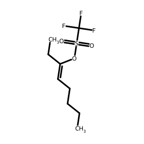 CCCC/C=C(/CC)OS(=O)(=O)C(F)(F)F